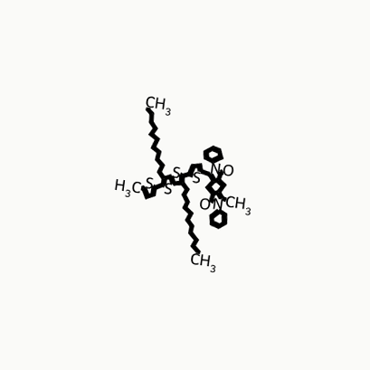 CCCCCCCCCCCCc1c(-c2ccc(C)s2)sc2c(CCCCCCCCCCCC)c(-c3ccc(C4=c5cc6c(cc5C(=O)N4c4ccccc4)=C(C)N(c4ccccc4)C6=O)s3)sc12